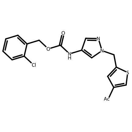 CC(=O)c1csc(Cn2cc(NC(=O)OCc3ccccc3Cl)cn2)c1